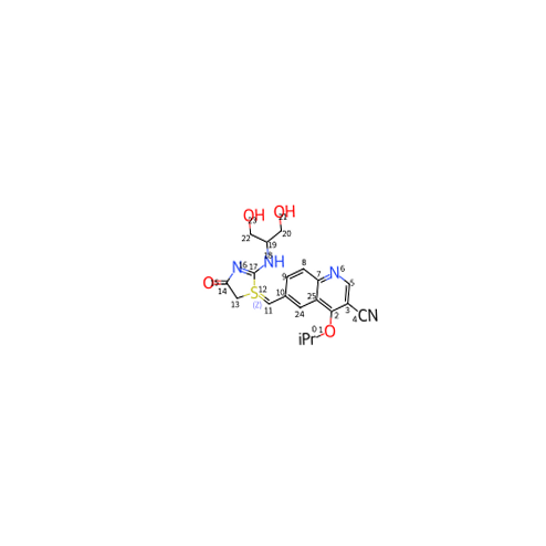 CC(C)Oc1c(C#N)cnc2ccc(/C=S3/CC(=O)N=C3NC(CO)CO)cc12